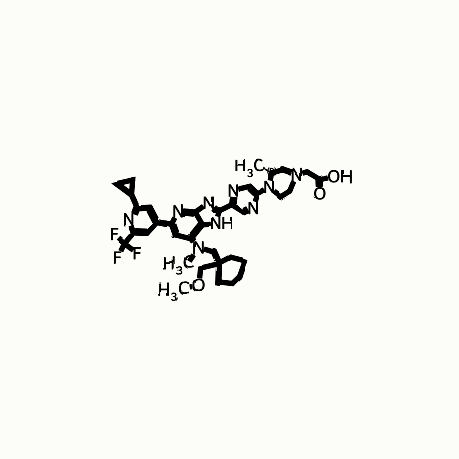 COCC1(CN(C)c2cc(-c3cc(C4CC4)nc(C(F)(F)F)c3)nc3nc(-c4cnc(N5CCN(CC(=O)O)C[C@H]5C)cn4)[nH]c23)CCCCC1